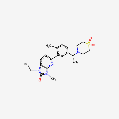 Cc1ccc([C@@H](C)N2CCS(=O)(=O)CC2)cc1-c1ccc2c(n1)n(C)c(=O)n2CC(C)(C)C